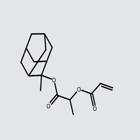 C=CC(=O)OC(C)C(=O)OC1(C)C2CC3CC(C2)CC1C3